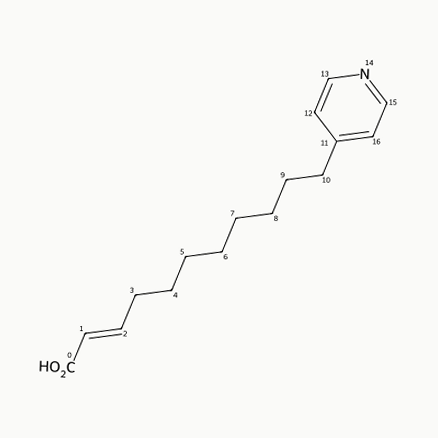 O=C(O)C=CCCCCCCCCc1ccncc1